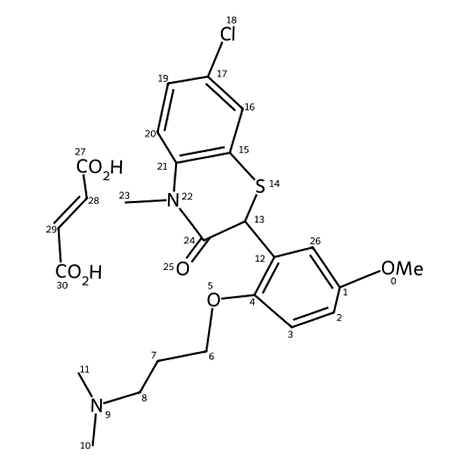 COc1ccc(OCCCN(C)C)c(C2Sc3cc(Cl)ccc3N(C)C2=O)c1.O=C(O)C=CC(=O)O